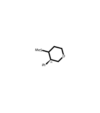 CSC1CCOC[C@H]1C(C)C